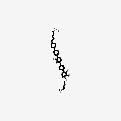 C=CCCCOc1ccc(-c2ccc(-c3ccc(C4=CCC(C5CCC(CCCCCC)CC5)CC4)c(F)c3F)cc2)c(F)c1F